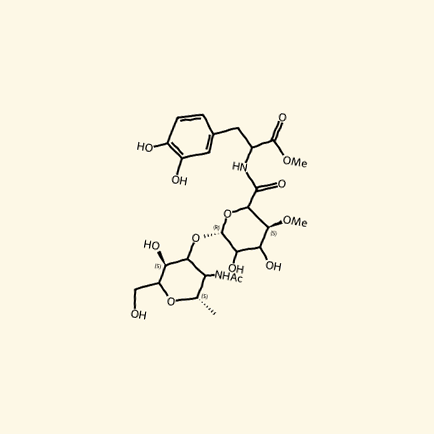 COC(=O)C(Cc1ccc(O)c(O)c1)NC(=O)C1O[C@@H](OC2C(NC(C)=O)[C@H](C)OC(CO)[C@H]2O)C(O)C(O)[C@@H]1OC